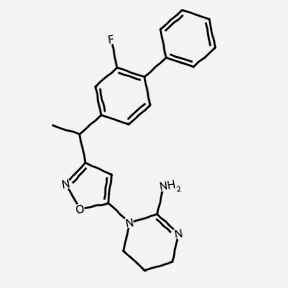 CC(c1ccc(-c2ccccc2)c(F)c1)c1cc(N2CCCN=C2N)on1